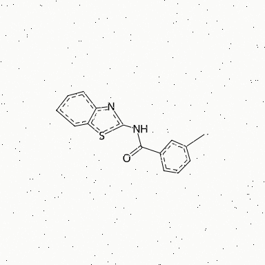 [CH2]c1cccc(C(=O)Nc2nc3ccccc3s2)c1